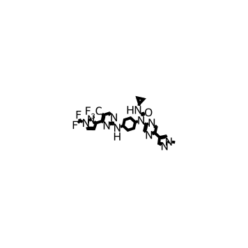 Cn1cc(-c2cnc(N(C(=O)NC3CC3)C3CCC(Nc4ncc(C(F)(F)F)c(-c5ccn(C(F)F)n5)n4)CC3)cn2)cn1